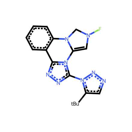 CC(C)(C)c1cnnn1-c1nnc2n1C1=CN(F)CN1c1ccccc1-2